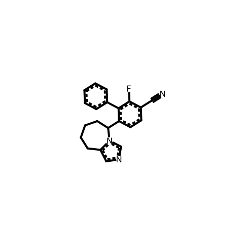 N#Cc1ccc(C2CCCCc3cncn32)c(-c2ccccc2)c1F